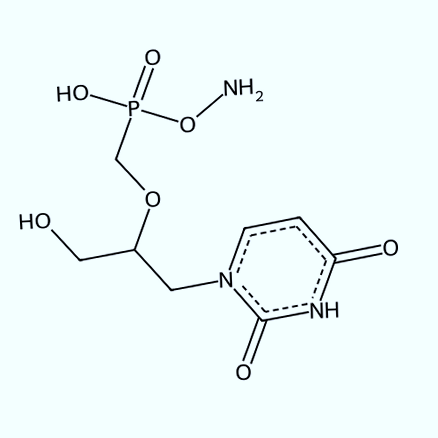 NOP(=O)(O)COC(CO)Cn1ccc(=O)[nH]c1=O